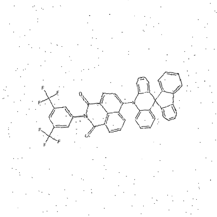 O=C1c2cccc3c(N4c5ccccc5C5(c6ccccc6-c6ccccc65)c5ccccc54)ccc(c23)C(=O)N1c1cc(C(F)(F)F)cc(C(F)(F)F)c1